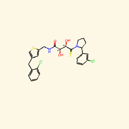 O=C(NCc1cc(Cc2ccccc2Cl)cs1)[C@H](O)[C@@H](O)C(=S)N1CCCC1c1cccc(Cl)c1